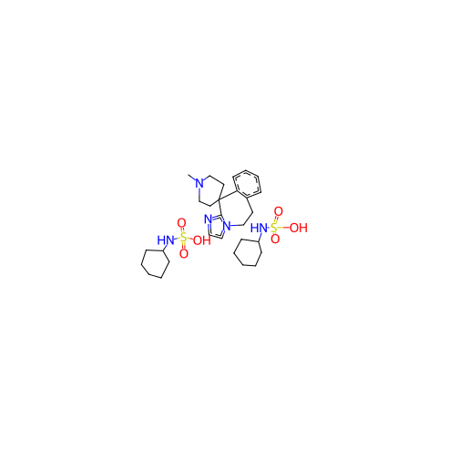 CN1CCC2(CC1)c1ccccc1CCn1ccnc12.O=S(=O)(O)NC1CCCCC1.O=S(=O)(O)NC1CCCCC1